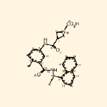 Cc1ccc(NC(=O)C2CN(C(=O)O)C2)cc1C(=O)NC(C)c1cccc2ccccc12